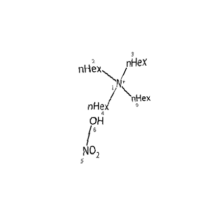 CCCCCC[N+](CCCCCC)(CCCCCC)CCCCCC.O=[N+]([O-])O